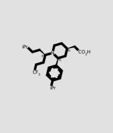 CC(C)CC[C@H](CCC(F)(F)F)N1CC[C@@H](CC(=O)O)C[C@H]1c1ccc(C(C)C)cc1